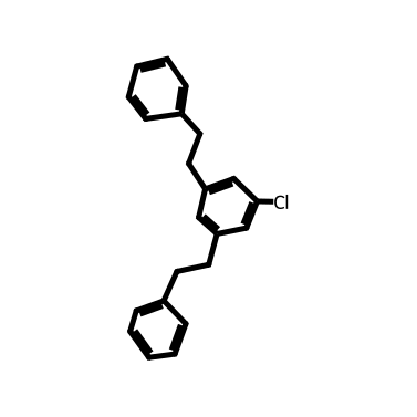 Clc1cc(CCc2ccccc2)cc(CCc2ccccc2)c1